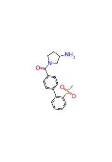 CS(=O)(=O)c1ccccc1-c1ccc(C(=O)N2CCC(N)C2)cc1